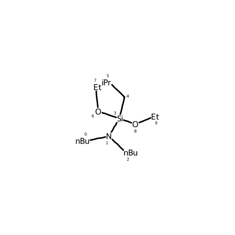 CCCCN(CCCC)[Si](CC(C)C)(OCC)OCC